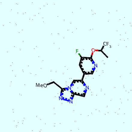 COCc1nnc2cnc(-c3cnc(OC(C)C(F)(F)F)c(F)c3)cn12